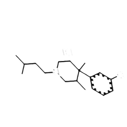 CC(C)CCN1CCC(C)(c2cccc(O)c2)C(C)C1.Cl